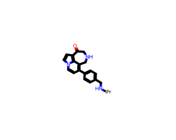 CC(C)NCc1ccc(-c2ccn3ccc4c3c2CNCC4=O)cc1